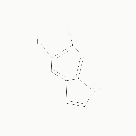 CCc1cc2s[c]cc2cc1F